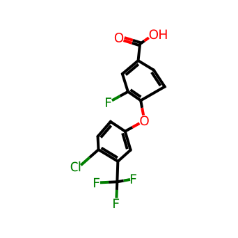 O=C(O)c1ccc(Oc2ccc(Cl)c(C(F)(F)F)c2)c(F)c1